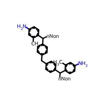 CCCCCCCCCC(c1ccc(Cc2ccc(C(CCCCCCCCC)c3ccc(N)cc3C)cc2)cc1)c1ccc(N)cc1C